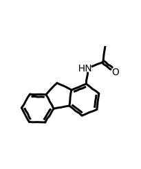 CC(=O)Nc1cccc2c1Cc1ccccc1-2